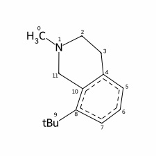 CN1CCc2cccc(C(C)(C)C)c2C1